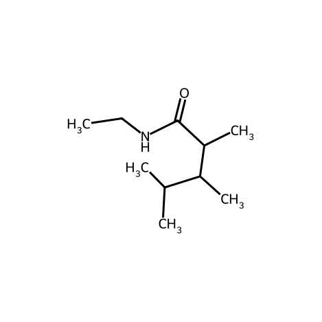 CCNC(=O)C(C)C(C)C(C)C